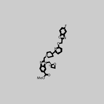 COC(=O)c1ccc2nc(CN3CCC(c4cccc(OCc5nc6cc(F)ccc6o5)n4)CC3)n(C[C@@H]3CCO3)c2c1